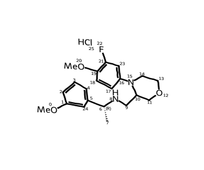 COc1cccc([C@@H](C)NCC2COCCN2c2ccc(OC)c(F)c2)c1.Cl